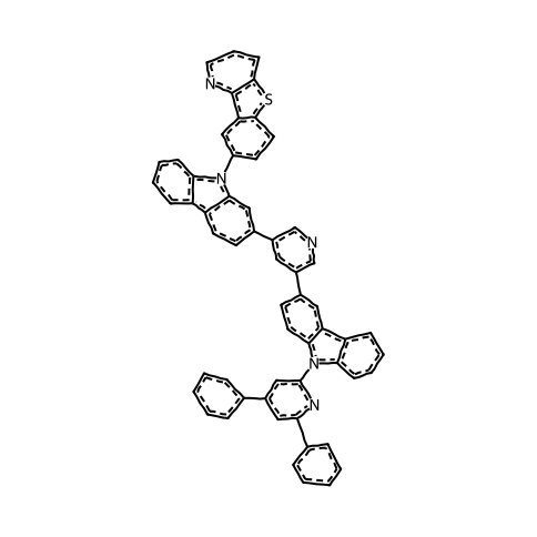 c1ccc(-c2cc(-c3ccccc3)nc(-n3c4ccccc4c4cc(-c5cncc(-c6ccc7c8ccccc8n(-c8ccc9sc%10cccnc%10c9c8)c7c6)c5)ccc43)c2)cc1